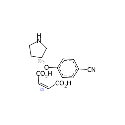 N#Cc1ccc(O[C@@H]2CCNC2)cc1.O=C(O)/C=C\C(=O)O